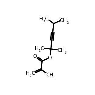 C=C(C)C(=O)OC(C)(C)C#CC(C)C